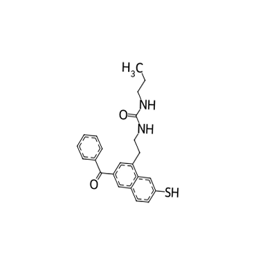 CCCNC(=O)NCCc1cc(C(=O)c2ccccc2)cc2ccc(S)cc12